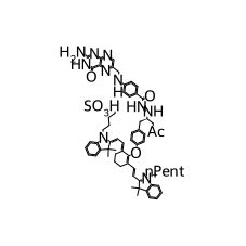 CCCCC[N+]1=C(/C=C/C2=C(Oc3ccc(C[C@H](CC(C)=O)NNC(=O)c4ccc(NCc5cnc6nc(N)[nH]c(=O)c6n5)cc4)cc3)C(=C/C=C3/N(CCCCS(=O)(=O)O)c4ccccc4C3(C)C)/CCC2)C(C)(C)c2ccccc21